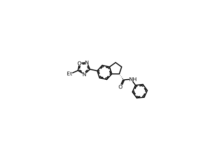 CCc1nc(-c2ccc3c(c2)CC[C@@H]3C(=O)Nc2ccccc2)no1